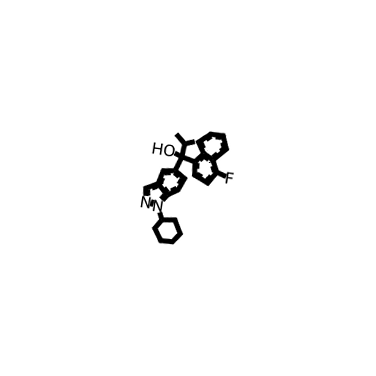 CC(C)C(O)(c1ccc2c(cnn2C2CCCCC2)c1)c1ccc(F)c2ccccc12